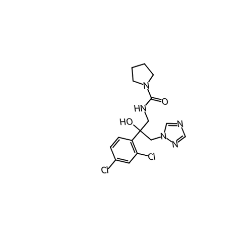 O=C(NCC(O)(Cn1cncn1)c1ccc(Cl)cc1Cl)N1CCCC1